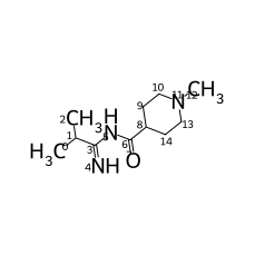 CC(C)C(=N)NC(=O)C1CCN(C)CC1